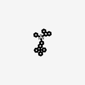 c1ccc(-c2nc(-c3ccc4cc5c(cc4c3)-c3ccccc3C5(c3ccccc3)c3ccccc3)nc(-c3cc4ccccc4c4ccccc34)n2)cc1